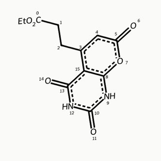 CCOC(=O)CCc1cc(=O)oc2[nH]c(=O)[nH]c(=O)c12